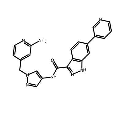 Nc1cc(Cn2cc(NC(=O)c3n[nH]c4cc(-c5cccnc5)ccc34)cn2)ccn1